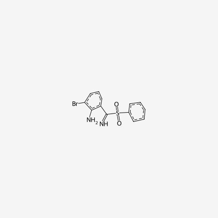 N=C(c1cccc(Br)c1N)S(=O)(=O)c1ccccc1